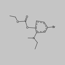 CCOC(=O)Oc1ccc(Br)cc1N(C)CC